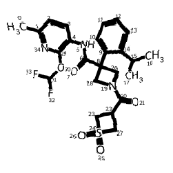 Cc1ccc(NC(=O)C2(c3ccccc3C(C)C)CN(C(=O)C3CS(=O)(=O)C3)C2)c(OC(F)F)n1